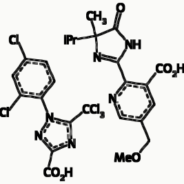 COCc1cnc(C2=NC(C)(C(C)C)C(=O)N2)c(C(=O)O)c1.O=C(O)c1nc(C(Cl)(Cl)Cl)n(-c2ccc(Cl)cc2Cl)n1